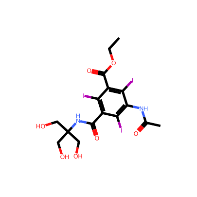 CCOC(=O)c1c(I)c(NC(C)=O)c(I)c(C(=O)NC(CO)(CO)CO)c1I